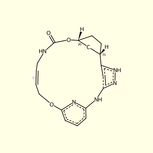 O=C1NC/C=C\COc2cccc(n2)Nc2cc([nH]n2)[C@H]2CC[C@H](C2)O1